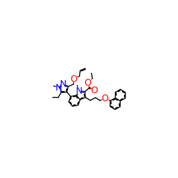 C=CCOCc1nn(C)c(CC)c1-c1cccc2c(CCCOc3cccc4ccccc34)c(C(=O)OCC)n(C)c12